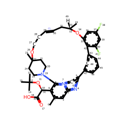 Cc1cc2nc3cn2c(c1[C@H](OC(C)(C)C)C(=O)O)N1CCC(C)(CC1)OCC/C=C/C[C@H](C)Oc1cc(F)cc(F)c1-c1cccc-3c1